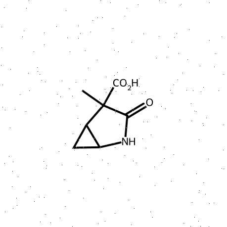 CC1(C(=O)O)C(=O)NC2CC21